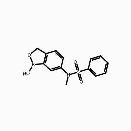 CN(c1ccc2c(c1)B(O)OC2)S(=O)(=O)c1ccccc1